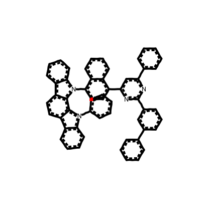 c1ccc(-c2cccc(-c3nc(-c4ccccc4)cc(-c4ccc(-n5c6ccccc6c6ccc7c8ccccc8n(-c8ccccc8)c7c65)c5ccccc45)n3)c2)cc1